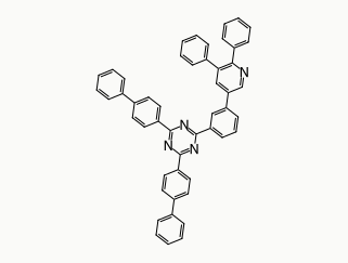 c1ccc(-c2ccc(-c3nc(-c4ccc(-c5ccccc5)cc4)nc(-c4cccc(-c5cnc(-c6ccccc6)c(-c6ccccc6)c5)c4)n3)cc2)cc1